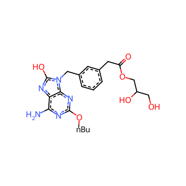 CCCCOc1nc(N)c2nc(O)n(Cc3cccc(CC(=O)OCC(O)CO)c3)c2n1